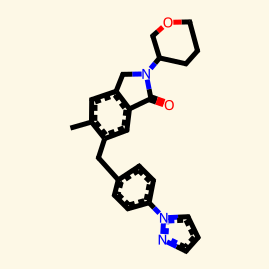 Cc1cc2c(cc1Cc1ccc(-n3cccn3)cc1)C(=O)N(C1CCCOC1)C2